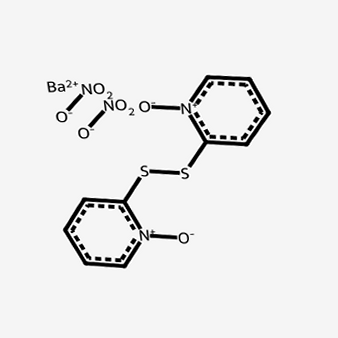 O=[N+]([O-])[O-].O=[N+]([O-])[O-].[Ba+2].[O-][n+]1ccccc1SSc1cccc[n+]1[O-]